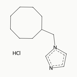 Cl.c1cn(CC2CCCCCCC2)cn1